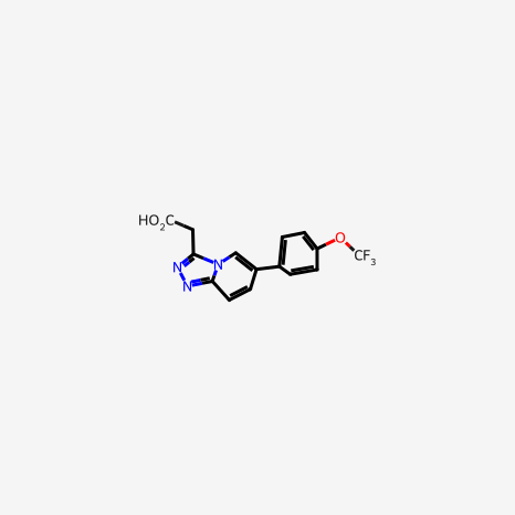 O=C(O)Cc1nnc2ccc(-c3ccc(OC(F)(F)F)cc3)cn12